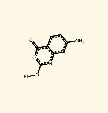 CCOc1nc2cc(N)ccc2c(=O)o1